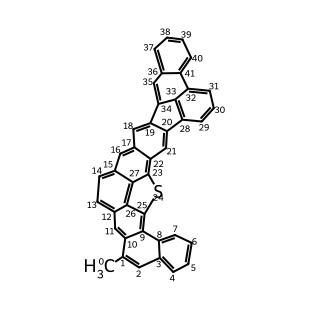 Cc1cc2ccccc2c2c1cc1ccc3cc4cc5c(cc4c4sc2c1c34)-c1cccc2c1c-5cc1ccccc12